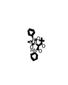 Cn1c(=O)n(C(C(=O)Nc2ccccc2)C(=O)C(C)(C)C)c(=O)n1-c1ccccc1